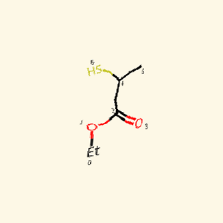 CCOC(=O)C(C)S